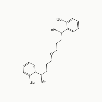 CCCC(CCCOCCCC(CCC)c1ccccc1C(C)(C)C)c1ccccc1C(C)(C)C